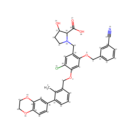 Cc1c(COc2cc(OCc3cccc(C#N)c3)c(CN3CCC(O)C3C(=O)O)cc2Cl)cccc1-c1ccc2c(c1)OCCO2